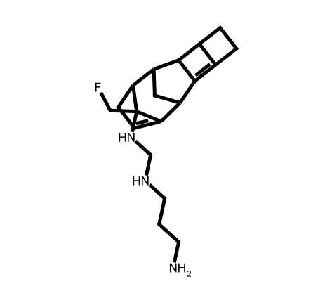 NCCCNCNC1(CF)C2=CCC1C1CC2C2=C3CCC3C21